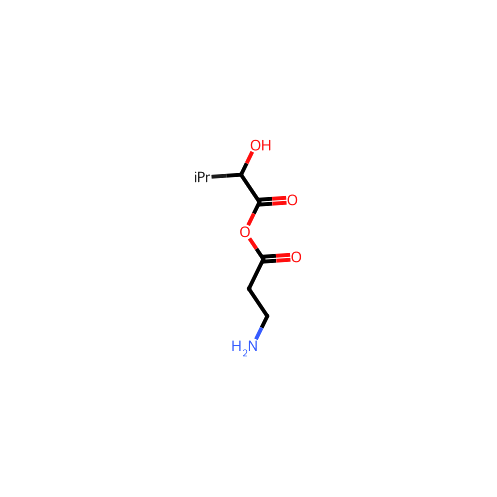 CC(C)C(O)C(=O)OC(=O)CCN